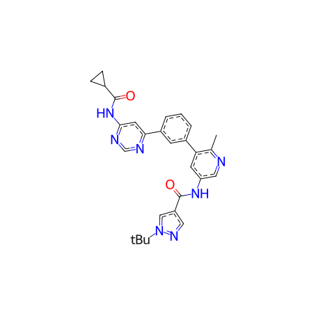 Cc1ncc(NC(=O)c2cnn(C(C)(C)C)c2)cc1-c1cccc(-c2cc(NC(=O)C3CC3)ncn2)c1